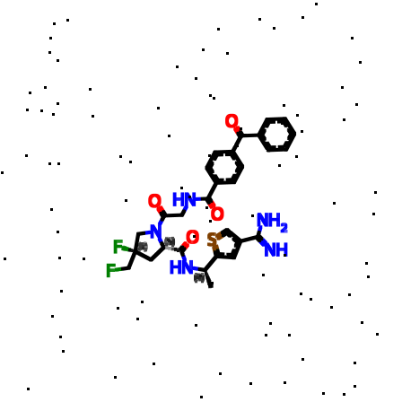 C[C@@H](NC(=O)[C@@H]1C[C@](F)(CF)CN1C(=O)CNC(=O)c1ccc(C(=O)c2ccccc2)cc1)c1cc(C(=N)N)cs1